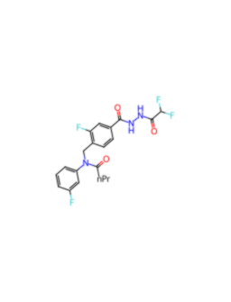 CCCC(=O)N(Cc1ccc(C(=O)NNC(=O)C(F)F)cc1F)c1cccc(F)c1